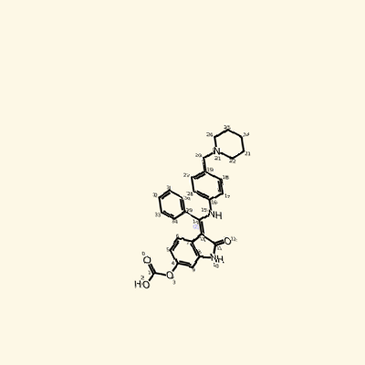 O=C(O)Oc1ccc2c(c1)NC(=O)/C2=C(\Nc1ccc(CN2CCCCC2)cc1)c1ccccc1